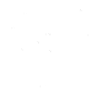 CCCCc1cc(N2CCCC2CO)nc(Nc2ccc(C)c(C#N)c2)n1.Cl